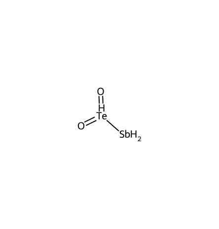 O=[TeH](=O)[SbH2]